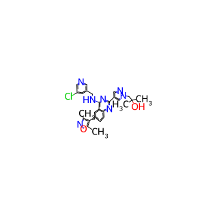 Cc1noc(C)c1-c1ccc2nc(-c3cnn(CC(C)(C)O)c3)nc(NCc3cncc(Cl)c3)c2c1